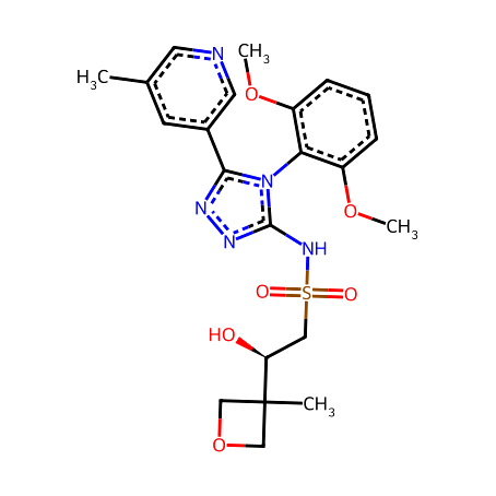 COc1cccc(OC)c1-n1c(NS(=O)(=O)C[C@H](O)C2(C)COC2)nnc1-c1cncc(C)c1